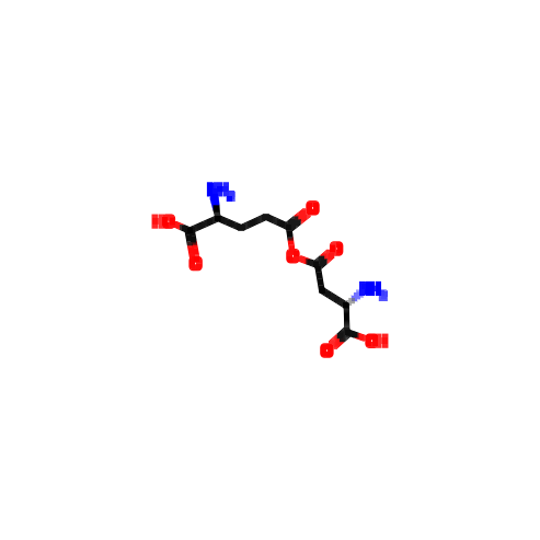 N[C@@H](CCC(=O)OC(=O)C[C@H](N)C(=O)O)C(=O)O